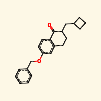 O=C1c2ccc(OCc3ccccc3)cc2CCC1CC1CCC1